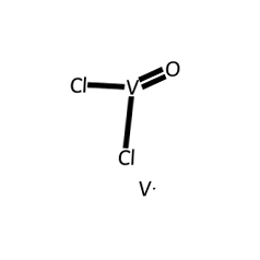 [O]=[V]([Cl])[Cl].[V]